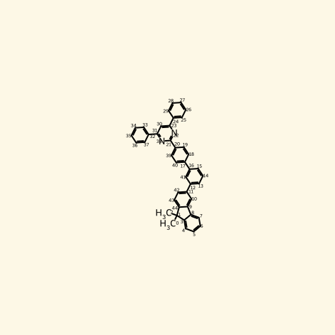 CC1(C)c2ccccc2-c2cc(-c3cccc(-c4ccc(-c5nc(-c6ccccc6)cc(-c6ccccc6)n5)cc4)c3)ccc21